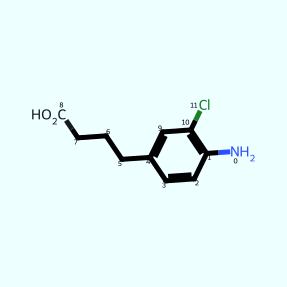 Nc1ccc(CCCC(=O)O)cc1Cl